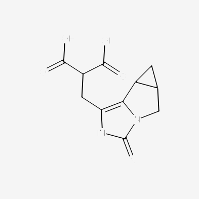 O=C(O)C(Cc1[nH]c(=S)n2c1C1CC1C2)C(=O)O